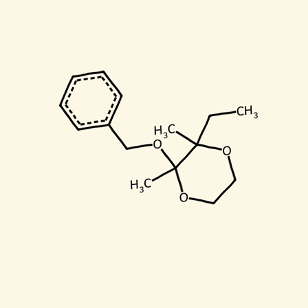 CCC1(C)OCCOC1(C)OCc1ccccc1